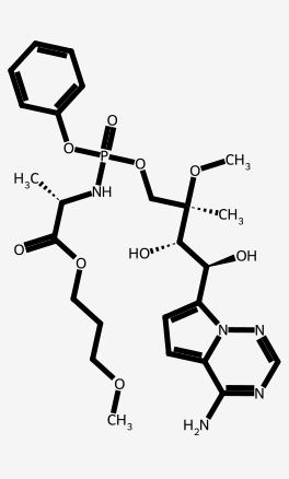 COCCCOC(=O)[C@H](C)NP(=O)(OC[C@@](C)(OC)[C@@H](O)[C@@H](O)c1ccc2c(N)ncnn12)Oc1ccccc1